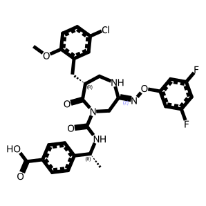 COc1ccc(Cl)cc1C[C@@H]1CN/C(=N\Oc2cc(F)cc(F)c2)CN(C(=O)N[C@H](C)c2ccc(C(=O)O)cc2)C1=O